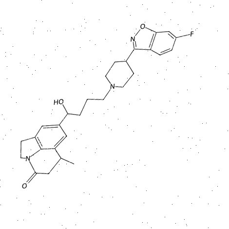 CC1CC(=O)N2CCc3cc(C(O)CCCN4CCC(c5noc6cc(F)ccc56)CC4)cc1c32